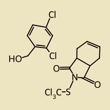 O=C1C2CC=CCC2C(=O)N1SC(Cl)(Cl)Cl.OCc1ccc(Cl)cc1Cl